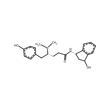 CN(C)[C@H](CCC(=O)N[C@H]1CC(O)c2ccccc21)Cc1ccc(O)cc1